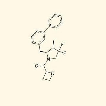 C[C@@H]1[C@H](Cc2cccc(-c3ccccc3)c2)N(C(=O)C2CCO2)CC1(F)F